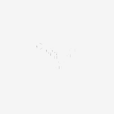 CC(C)CCCNC(=O)N(C=Cc1ccccc1)CCCC(C)C